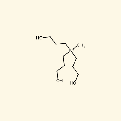 C[N+](CCCO)(CCCO)CCCO